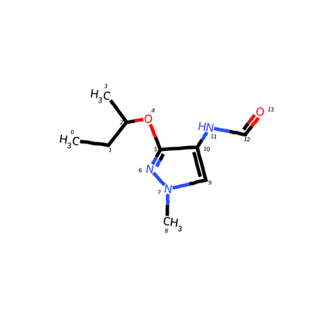 CCC(C)Oc1nn(C)cc1NC=O